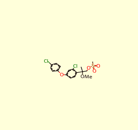 COC(C)(COS(C)(=O)=O)c1ccc(Oc2ccc(Cl)cc2)cc1Cl